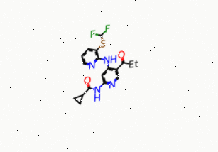 CCC(=O)c1cnc(NC(=O)C2CC2)cc1Nc1ncccc1SC(F)F